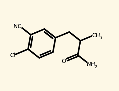 CC(Cc1ccc(Cl)c(C#N)c1)C(N)=O